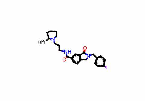 CCCC1CCCCN1CCCNC(=O)c1ccc2c(c1)C(=O)N(Cc1ccc(I)cc1)C2